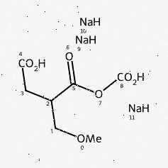 COCC(CC(=O)O)C(=O)OC(=O)O.[NaH].[NaH].[NaH]